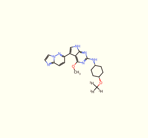 [2H]C([2H])([2H])O[C@H]1CC[C@@H](Nc2nc(OC)c3c(-c4ccc5nccn5n4)c[nH]c3n2)CC1